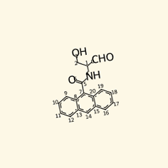 O=CC(CO)NC(=O)c1c2ccccc2cc2ccccc12